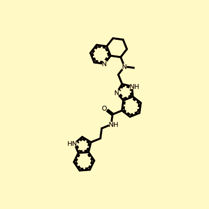 CN(Cc1nc2c(C(=O)NCCc3c[nH]c4ccccc34)cccc2[nH]1)C1CCCc2cccnc21